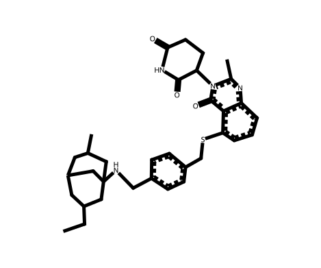 CCC1CC2CC(C)CC(NCc3ccc(CSc4cccc5nc(C)n(C6CCC(=O)NC6=O)c(=O)c45)cc3)(C1)C2